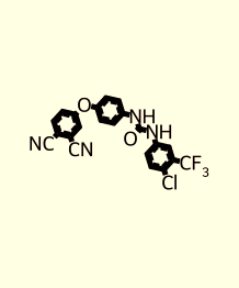 N#Cc1ccc(Oc2ccc(NC(=O)Nc3ccc(Cl)c(C(F)(F)F)c3)cc2)cc1C#N